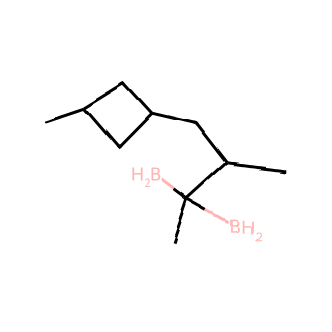 BC(B)(C)C(C)CC1CC(C)C1